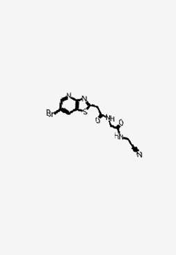 N#CCNC(=O)CNC(=O)Cc1nc2ncc(Br)cc2s1